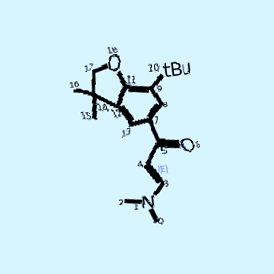 CN(C)/C=C/C(=O)c1cc(C(C)(C)C)c2c(c1)C(C)(C)CO2